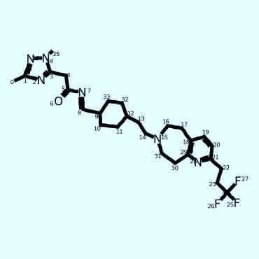 Cc1nc(CC(=O)/N=C/C2CCC(CCN3CCc4ccc(CCC(F)(F)F)nc4CC3)CC2)n(C)n1